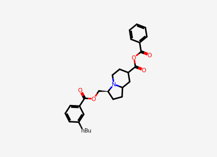 CCCCc1cccc(C(=O)OC[C@@H]2CCC3CC(C(=O)OC(=O)c4ccccc4)CCN32)c1